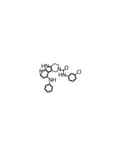 O=C(Nc1cccc(Cl)c1)N1CCc2[nH]c3nccc(Nc4ccccc4)c3c2C1